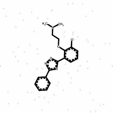 CN(C)CCOc1c(Cl)cccc1-c1nc(-c2ccccc2)no1